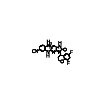 [C-]#[N+]c1ccc(N)c(Nc2ncc3[nH]c(=O)n(C4CCOc5c(F)cc(F)cc54)c3n2)c1